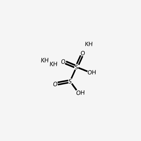 O=S(O)S(=O)(=O)O.[KH].[KH].[KH]